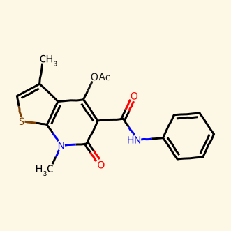 CC(=O)Oc1c(C(=O)Nc2ccccc2)c(=O)n(C)c2scc(C)c12